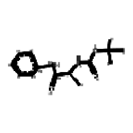 C[C@H](NC(=O)OC(C)(C)C)C(=O)Nc1ccccc1